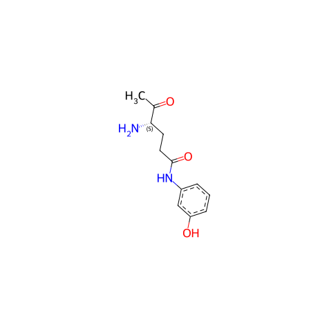 CC(=O)[C@@H](N)CCC(=O)Nc1cccc(O)c1